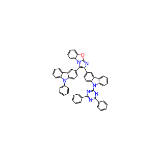 c1ccc(-c2nc(-c3ccccc3)nc(-n3c4ccccc4c4cc(-c5nc6oc7ccccc7n6c5-c5ccc6c(c5)c5ccccc5n6-c5ccccc5)ccc43)n2)cc1